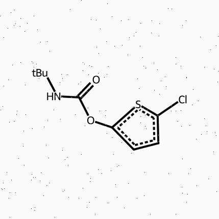 CC(C)(C)NC(=O)Oc1ccc(Cl)s1